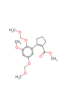 COCOc1cc(OC)c(OCOC)c(C2=C(C(=O)OC)CCC2)c1